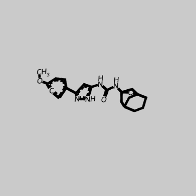 COc1ccc(-c2cc(NC(=O)NC34CC5CCCC(C5)(C3)C4)[nH]n2)cc1